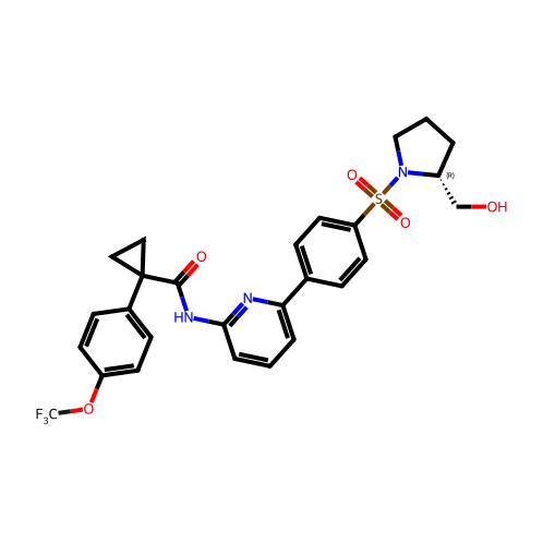 O=C(Nc1cccc(-c2ccc(S(=O)(=O)N3CCC[C@@H]3CO)cc2)n1)C1(c2ccc(OC(F)(F)F)cc2)CC1